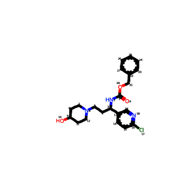 O=C(NC(CCN1CCC(O)CC1)c1ccc(Cl)nc1)OCc1ccccc1